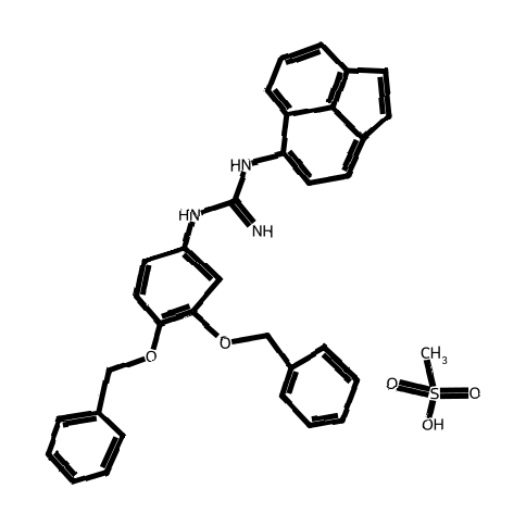 CS(=O)(=O)O.N=C(Nc1ccc(OCc2ccccc2)c(OCc2ccccc2)c1)Nc1ccc2c3c(cccc13)C=C2